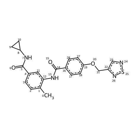 Cc1ccc(C(=O)NC2CC2)cc1NC(=O)c1ccc(OCc2cnsn2)cc1